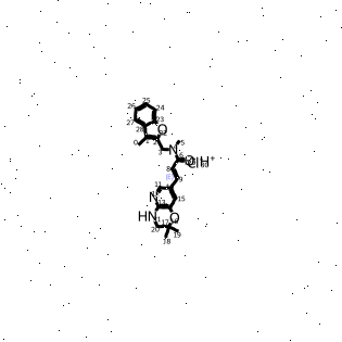 Cc1c(CN(C)C(=O)/C=C/c2cnc3c(c2)OC(C)(C)CN3)oc2ccccc12.[Cl-].[H+]